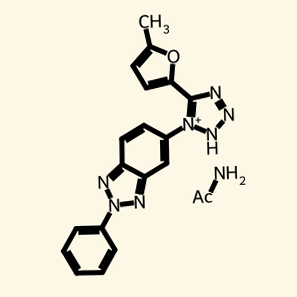 CC(N)=O.Cc1ccc(-c2nn[nH][n+]2-c2ccc3nn(-c4ccccc4)nc3c2)o1